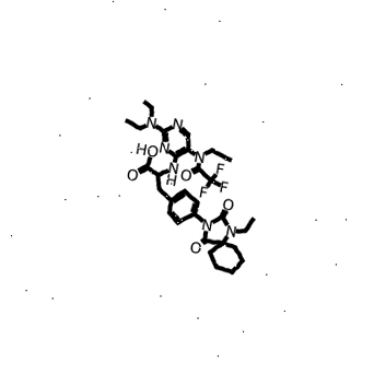 CCN(CC)c1ncc(N(CC)C(=O)C(F)(F)F)c(NC(Cc2ccc(N3C(=O)N(CC)C4(CCCCC4)C3=O)cc2)C(=O)O)n1